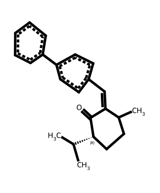 CC1CC[C@H](C(C)C)C(=O)C1=Cc1ccc(-c2ccccc2)cc1